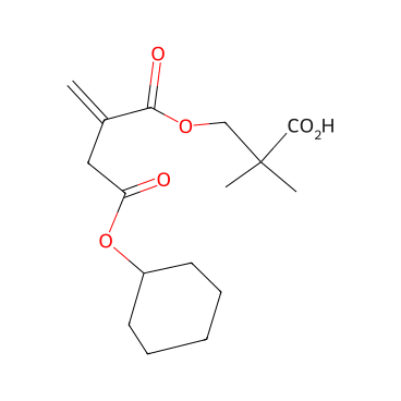 C=C(CC(=O)OC1CCCCC1)C(=O)OCC(C)(C)C(=O)O